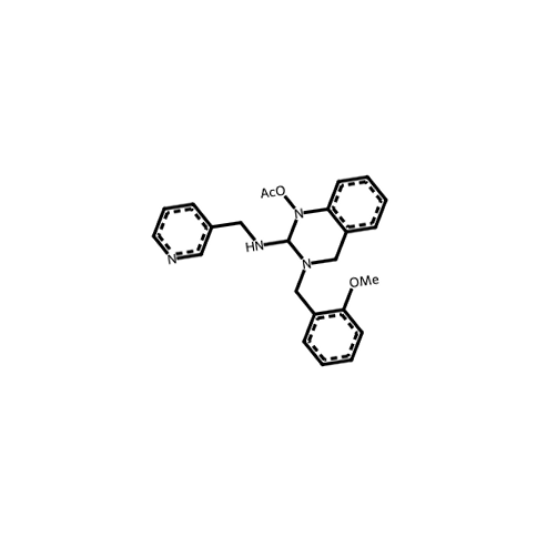 COc1ccccc1CN1Cc2ccccc2N(OC(C)=O)C1NCc1cccnc1